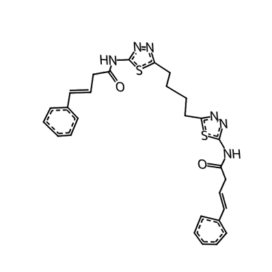 O=C(C/C=C/c1ccccc1)Nc1nnc(CCCCc2nnc(NC(=O)C/C=C/c3ccccc3)s2)s1